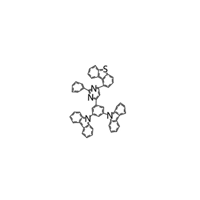 c1ccc(-c2nc(-c3cc(-n4c5ccccc5c5ccccc54)cc(-n4c5ccccc5c5ccccc54)c3)cc(-c3cccc4sc5ccccc5c34)n2)cc1